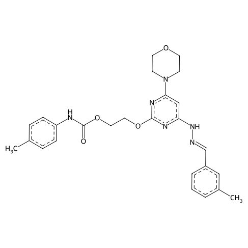 Cc1ccc(NC(=O)OCCOc2nc(NN=Cc3cccc(C)c3)cc(N3CCOCC3)n2)cc1